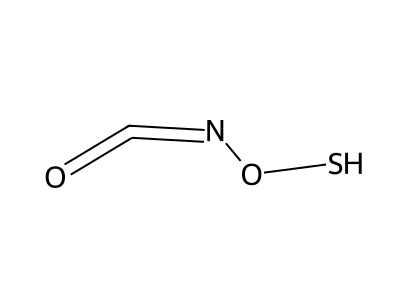 O=C=NOS